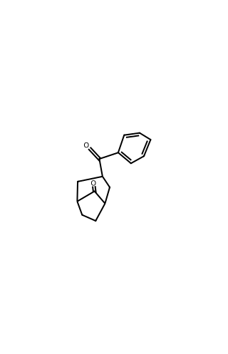 O=C(c1ccccc1)C1CC2CCC(C1)C2=O